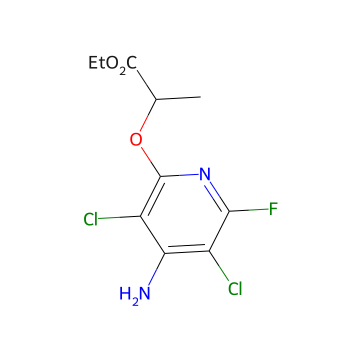 CCOC(=O)C(C)Oc1nc(F)c(Cl)c(N)c1Cl